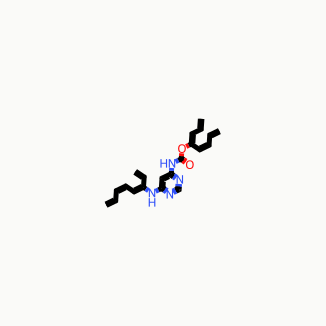 C=C/C=C\C=C(/C=C)Nc1cc(NC(=O)OC(/C=C\C=C)=C/C=C)ncn1